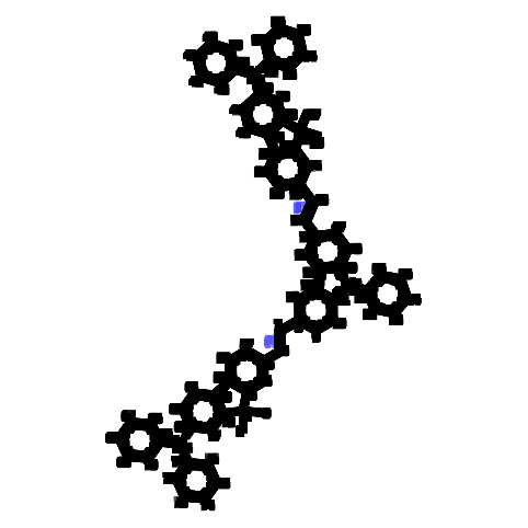 CC1(C)c2cc(/C=C/c3ccc4c(c3)c3cc(/C=C/c5ccc6c(c5)C(C)(C)c5cc(N(c7ccccc7)c7ccccc7)ccc5-6)ccc3n4-c3ccccc3)ccc2-c2ccc(N(c3ccccc3)c3ccccc3)cc21